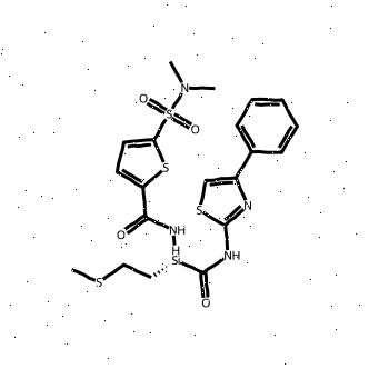 CSCC[Si@H](NC(=O)c1ccc(S(=O)(=O)N(C)C)s1)C(=O)Nc1nc(-c2ccccc2)cs1